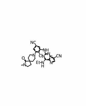 CCNc1nc(Nc2cc(C#N)cc(N3CCC4(CCN(C)C4=O)CC3)c2Cl)nn2c(C#N)cnc12